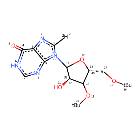 [2H]c1nc2c(=O)[nH]cnc2n1C1O[C@H](COC(C)(C)C)C(OC(C)(C)C)[C@H]1O